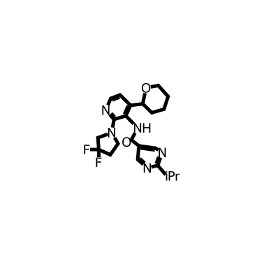 CC(C)c1ncc(C(=O)Nc2c(C3CCCCO3)ccnc2N2CCC(F)(F)C2)cn1